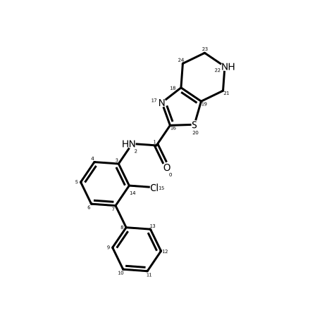 O=C(Nc1cccc(-c2ccccc2)c1Cl)c1nc2c(s1)CNCC2